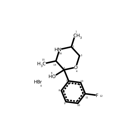 Br.CC1COC(O)(c2cccc(F)c2)C(C)N1